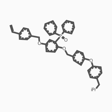 C=Cc1ccc(COc2ccc(OCc3ccc(Oc4ccc(CC(C)C)cc4)cc3)c(P(=O)(c3ccccc3)c3ccccc3)c2)cc1